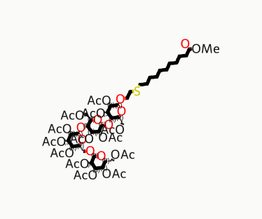 COC(=O)CCCCCCCCCCSCCO[C@H]1O[C@H](COC(C)=O)[C@@H](O[C@@H]2O[C@H](COC(C)=O)[C@@H](O[C@@H]3O[C@H](CO[C@@H]4O[C@H](COC(C)=O)[C@@H](OC(C)=O)[C@H](OC(C)=O)[C@H]4OC(C)=O)[C@@H](OC(C)=O)[C@H](OC(C)=O)[C@H]3OC(C)=O)[C@H](OC(C)=O)[C@H]2OC(C)=O)[C@H](OC(C)=O)[C@H]1OC(C)=O